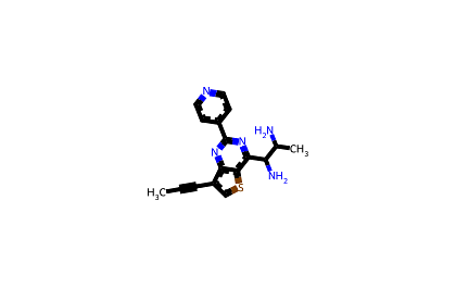 CC#Cc1csc2c(C(N)C(C)N)nc(-c3ccncc3)nc12